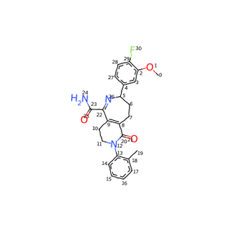 COc1cc(C2CCC3=C(CCN(c4ccccc4C)C3=O)C(C(N)=O)=N2)ccc1F